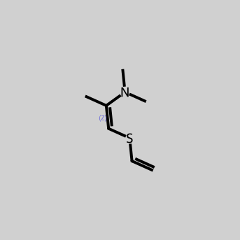 C=CS/C=C(/C)N(C)C